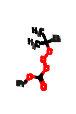 CCC(C)(C)OOOC(=O)OC(C)C